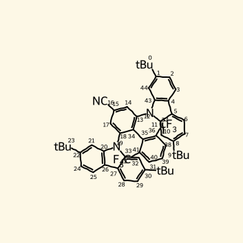 CC(C)(C)c1ccc2c3ccc(C(C)(C)C)cc3n(-c3cc(C#N)cc(-n4c5cc(C(C)(C)C)ccc5c5ccc(C(C)(C)C)cc54)c3-c3c(C(F)(F)F)cccc3C(F)(F)F)c2c1